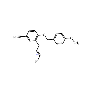 COc1ccc(COc2ccc(C#N)cc2C/C=C/Br)cc1